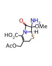 CO[C@]1(N)C(=O)N2C(C(=O)O)=C(COC(C)=O)CS[C@@H]21